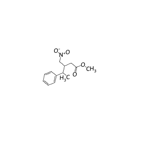 COC(=O)CC(C[N+](=O)[O-])C(C)c1ccccc1